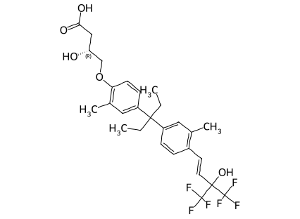 CCC(CC)(c1ccc(C=CC(O)(C(F)(F)F)C(F)(F)F)c(C)c1)c1ccc(OC[C@H](O)CC(=O)O)c(C)c1